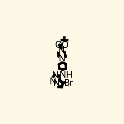 CC(C)(C)OC(=O)N1CCN(C2CCC(Nc3ncnn4ccc(Br)c34)CC2)CC1